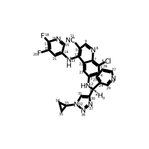 [2H][C@](Nc1cc(Cl)c2ncc(C#N)c(Nc3cnc(F)c(F)c3)c2c1)(c1cccnc1)c1cn(C2CC2)nn1